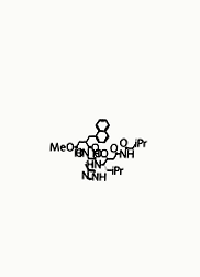 COC(=O)CC(Cc1cccc2ccccc12)C(=O)N[C@@H](Cc1c[nH]cn1)C(=O)N[C@@H](CC(C)C)[C@@H](O)CC(=O)NC(=O)CC(C)C